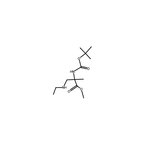 CCNCC(C)(NC(=O)OC(C)(C)C)C(=O)OC